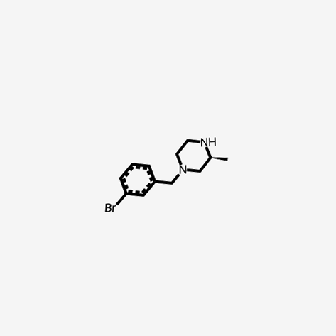 C[C@H]1CN(Cc2cccc(Br)c2)CCN1